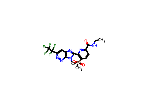 CCNC(=O)c1ccc(S(C)(=O)=O)c(-c2nc3cc(C(F)(F)C(F)(F)F)nnc3n2C)n1